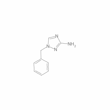 Nc1ncn(Cc2ccccc2)n1